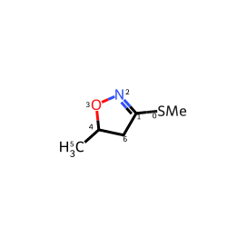 CSC1=NOC(C)C1